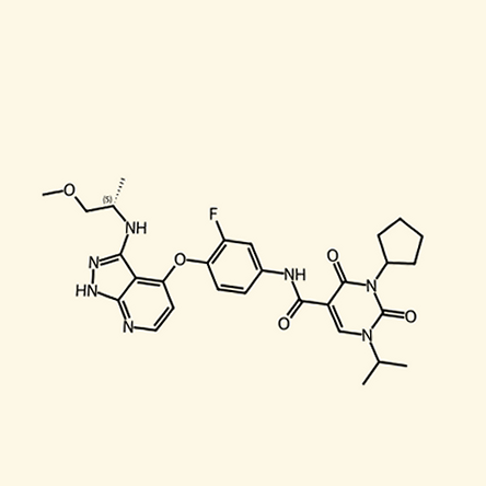 COC[C@H](C)Nc1n[nH]c2nccc(Oc3ccc(NC(=O)c4cn(C(C)C)c(=O)n(C5CCCC5)c4=O)cc3F)c12